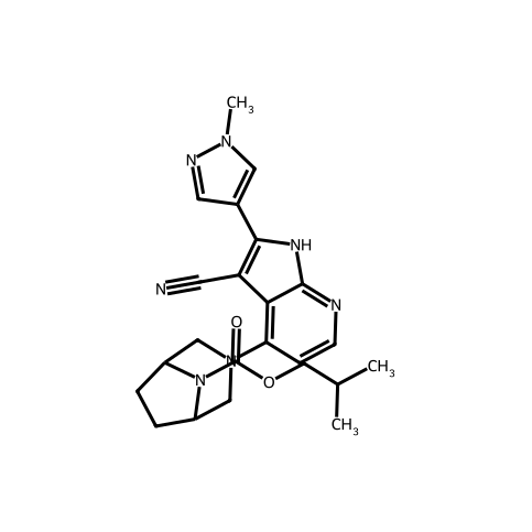 CC(C)COC(=O)N1C2CCC1CN(c1ccnc3[nH]c(-c4cnn(C)c4)c(C#N)c13)C2